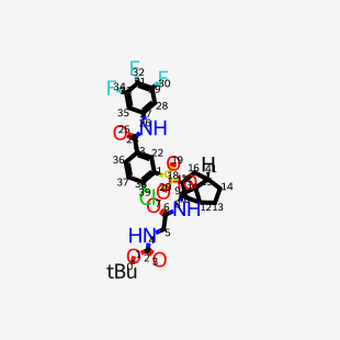 CC(C)(C)OC(=O)NCC(=O)NC[C@@]1(O)C2CC[C@H]1C[C@H](S(=O)(=O)c1cc(C(=O)Nc3cc(F)c(F)c(F)c3)ccc1Cl)C2